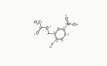 CC(=O)OCc1cc([N+](=O)[O-])ccc1F